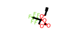 C#CCOC1(C(F)(F)C(F)(F)F)COC(=O)O1